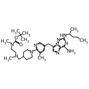 CCC[C@H](C)Nc1nc(N)c2ncc(Cc3cnc(N4CCC(CN(C)CCN(C)C(=O)OC(C)(C)C)CC4)c(C)c3)n2n1